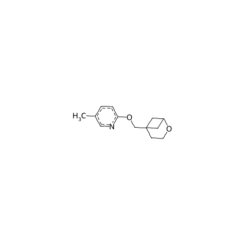 Cc1ccc(OCC23CCOC(C2)C3)nc1